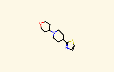 c1csc(C2CCN(C3CCOCC3)CC2)n1